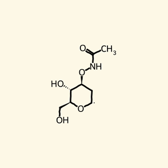 CC(=O)NO[C@H]1C[CH]O[C@@H](CO)[C@@H]1O